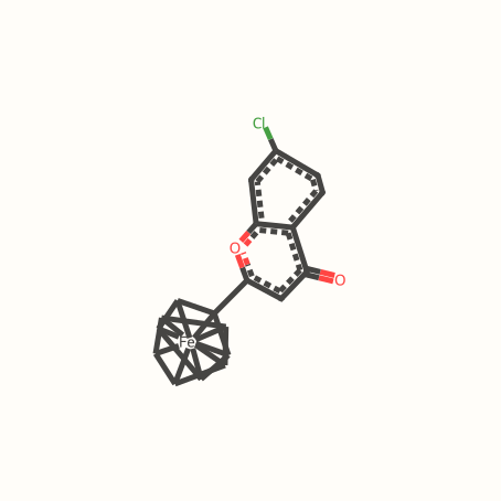 O=c1cc([C]23[CH]4[CH]5[CH]6[CH]2[Fe]56432789[CH]3[CH]2[CH]7[CH]8[CH]39)oc2cc(Cl)ccc12